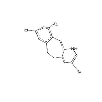 Clc1cc(Cl)c2c(c1)CCC1=CC(Br)=CNC1=C2